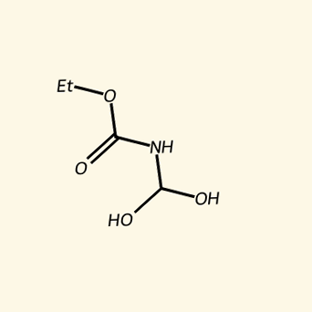 CCOC(=O)NC(O)O